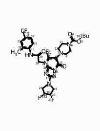 CCc1c(N2CCN(C(=O)OC(C)(C)C)CC2)c(=O)n2nc(N3C[C@@H](F)[C@@H](F)C3)nc2n1CC(=O)Nc1ccc(C(F)(F)F)cc1C